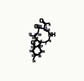 CC(=O)/C1=C/NCCc2c(oc3cc(C)ccc23)/C(C)=C/C1=O